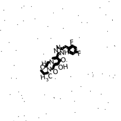 C[C@@H]1CCO[C@H]2Cn3cc(-c4nnc(Cc5ccc(F)cc5F)[nH]4)c(=O)c(O)c3C(=O)N12